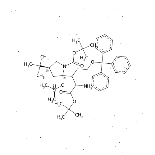 C[SiH](C)O[C@]1(C(CCOC(c2ccccc2)(c2ccccc2)c2ccccc2)C(N)C(=O)OC(C)(C)C)C[C@@H](C(C)(C)C)CN1C(=O)OC(C)(C)C